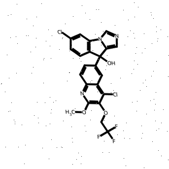 COc1nc2ccc(C3(O)c4ccc(Cl)cc4-n4cncc43)cc2c(Cl)c1OCC(F)(F)F